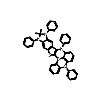 CC1(C)N(c2ccccc2)c2cc3sc4c(c3cc2N1c1ccccc1)N(c1ccccc1)c1cccc2c1B4c1ccccc1N2c1ccccc1